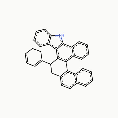 C1=CCCC(C2Cc3ccc4ccccc4c3-c3c2c2c4ccccc4[nH]c2c2ccccc32)=C1